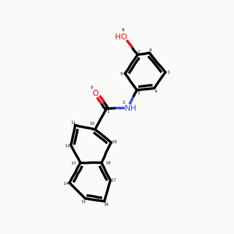 O=C(Nc1cccc(O)c1)c1ccc2ccccc2c1